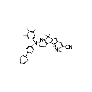 Cc1cc(N(c2ccc(-c3ccccc3)cc2)c2ccc3c(n2)C(C)(C)c2cc(C=C(C#N)C#N)sc2-3)cc(C)c1C